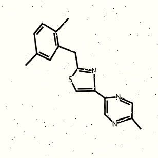 Cc1ccc(C)c(Cc2nc(-c3cnc(C)cn3)cs2)c1